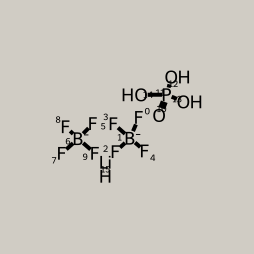 F[B-](F)(F)F.F[B-](F)(F)F.O=P(O)(O)O.[LiH]